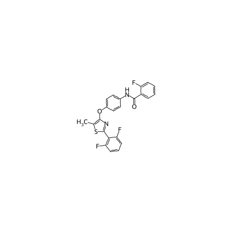 Cc1sc(-c2c(F)cccc2F)nc1Oc1ccc(NC(=O)c2ccccc2F)cc1